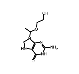 CC(OCCO)N1CNc2c1nc(N)[nH]c2=O